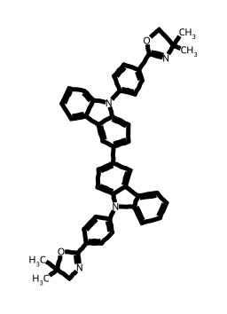 CC1(C)COC(c2ccc(-n3c4ccccc4c4cc(-c5ccc6c(c5)c5ccccc5n6-c5ccc(C6=NCC(C)(C)O6)cc5)ccc43)cc2)=N1